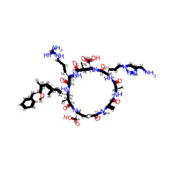 C=C1C(=O)N[C@H](C)C(=O)N[C@@H](CCCn2cc(CN)nn2)C(=O)N[C@@H](C(=O)O)[C@H](C)C(=O)N[C@@H](CCCNC(=N)N)C(=O)N[C@@H](/C=C/C(C)=C/[C@H](C)[C@H](Cc2ccccc2)OC)[C@H](C)C(=O)N[C@@H](C(=O)O)CCC(=O)N1C